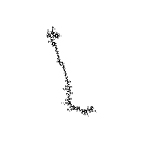 Cc1sc2c(c1C)C(c1ccc(Cl)cc1)=N[C@@H](CC(=O)Nc1ccc(OCCOCCOCCOCC(=O)N3CCN(CCOCCOCCOCCNC(=O)CCNC(=O)c4nc(NC(=O)CCNC(=O)c5cc(NC(=O)c6nc(NC(=O)CCNC(=O)c7cc(NC(=O)c8nccn8C)cn7C)cn6C)cn5C)cn4C)CC3)cc1)c1nnc(C)n1-2